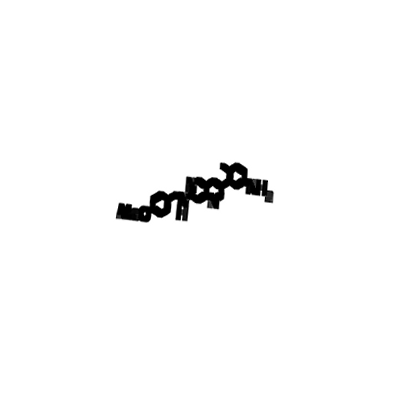 COc1ccc(CNc2cc3ncc(-c4cc(N)ccc4C)cc3cn2)cc1